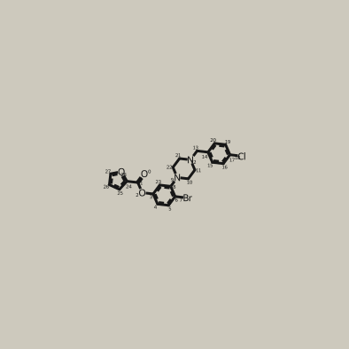 O=C(Oc1ccc(Br)c(N2CCN(Cc3ccc(Cl)cc3)CC2)c1)c1ccco1